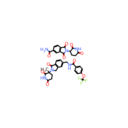 CC1(N2Cc3cc(CNC(=O)c4ccc(OC(F)(F)F)cc4)ccc3C2=O)CCC(=O)NC1=O.NC(=O)c1ccc2c(c1)C(=O)N(C1CCC(=O)NC1=O)C2=O